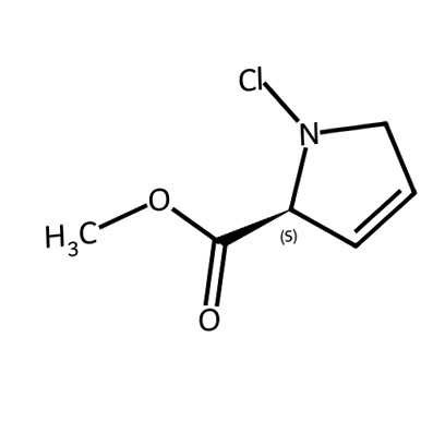 COC(=O)[C@@H]1C=CCN1Cl